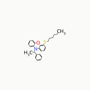 CCCCCCSc1cccc2c1Oc1ccccc1N2C(C)c1ccccc1